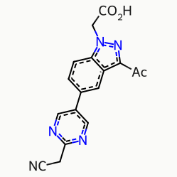 CC(=O)c1nn(CC(=O)O)c2ccc(-c3cnc(CC#N)nc3)cc12